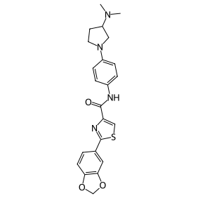 CN(C)C1CCN(c2ccc(NC(=O)c3csc(-c4ccc5c(c4)OCO5)n3)cc2)C1